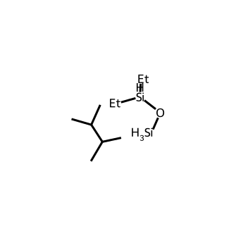 CC(C)C(C)C.CC[SiH](CC)O[SiH3]